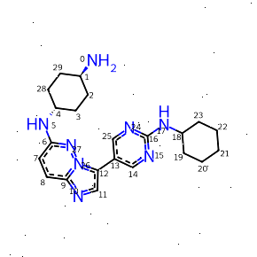 N[C@H]1CC[C@H](Nc2ccc3ncc(-c4cnc(NC5CCCCC5)nc4)n3n2)CC1